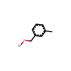 [CH2]COCc1cccc(C)c1